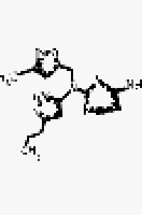 CCCc1cc(N(Cc2cc(C)no2)c2nccc(N)n2)[nH]n1